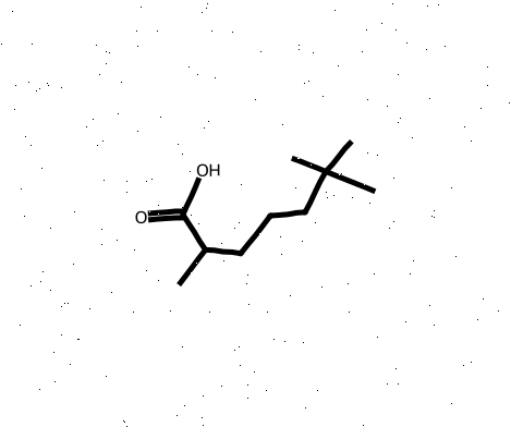 CC(CCCC(C)(C)C)C(=O)O